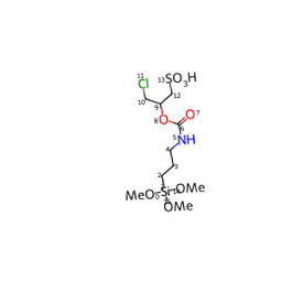 CO[Si](CCCNC(=O)OC(CCl)CS(=O)(=O)O)(OC)OC